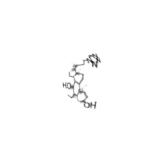 CC[C@@H]1C2C[C@H](O)CC[C@]2(C)C2CC[C@@]3(C)C(CC[C@@H]3[C@H](C)CCn3cnnn3)C2[C@@H]1O